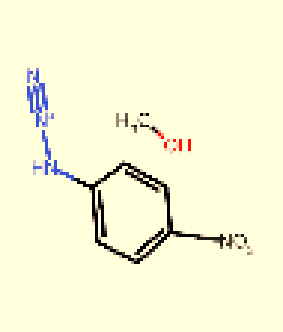 CO.N#[N+]Nc1ccc([N+](=O)[O-])cc1